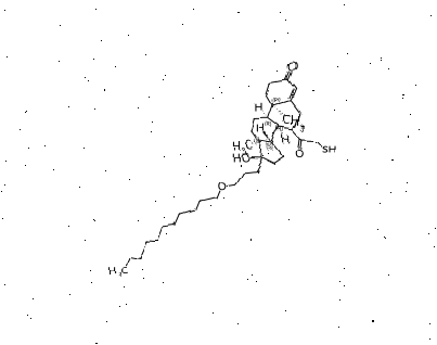 CCCCCCCCCCCOCCCC1(O)CC[C@H]2[C@@H]3C(C(=O)CS)CC4=CC(=O)CC[C@]4(C)[C@@H]3CC[C@@]21C